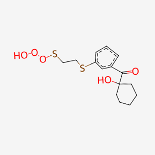 O=C(c1cccc(SCCSOOO)c1)C1(O)CCCCC1